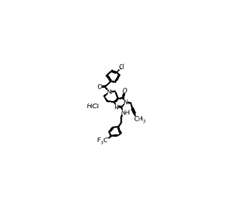 CC#CCn1c(NCCc2ccc(C(F)(F)F)cc2)nc2c(c1=O)CN(C(=O)c1ccc(Cl)cc1)CC2.Cl